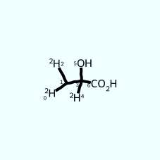 [2H]C([2H])C([2H])(O)C(=O)O